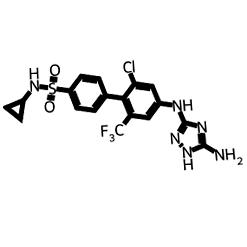 Nc1nc(Nc2cc(Cl)c(-c3ccc(S(=O)(=O)NC4CC4)cc3)c(C(F)(F)F)c2)n[nH]1